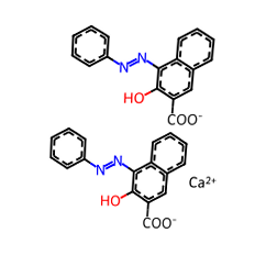 O=C([O-])c1cc2ccccc2c(N=Nc2ccccc2)c1O.O=C([O-])c1cc2ccccc2c(N=Nc2ccccc2)c1O.[Ca+2]